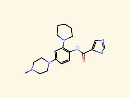 CN1CCN(c2ccc(NC(=O)c3cnc[nH]3)c(N3CCCCC3)c2)CC1